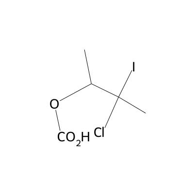 CC(OC(=O)O)C(C)(Cl)I